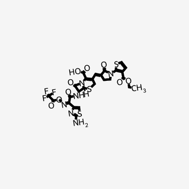 CCOC(=O)c1ccsc1N1CC/C(=C\C2=C(C(=O)O)N3C(=O)[C@@H](NC(=O)/C(=N\OC(=O)C(F)(F)F)c4csc(N)n4)[C@H]3SC2)C1=O